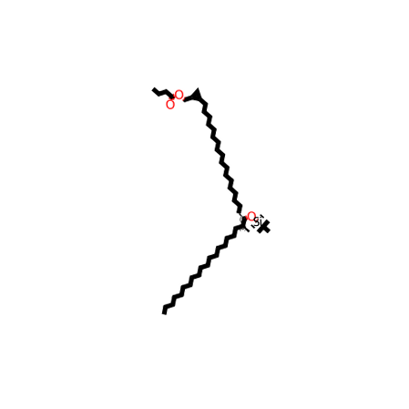 CCCCCCCCCCCCCCCCCC[C@H](C)[C@H](CCCCCCCCCCCCCCCCCCC1CC1COC(=O)CCC)O[Si](C)(C)C(C)(C)C